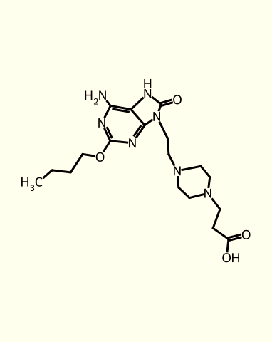 CCCCOc1nc(N)c2[nH]c(=O)n(CCN3CCN(CCC(=O)O)CC3)c2n1